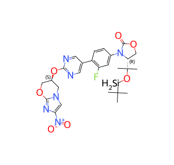 CC(C)(C)[SiH2]OC(C)(C)[C@H]1COC(=O)N1c1ccc(-c2cnc(O[C@@H]3COc4nc([N+](=O)[O-])cn4C3)nc2)c(F)c1